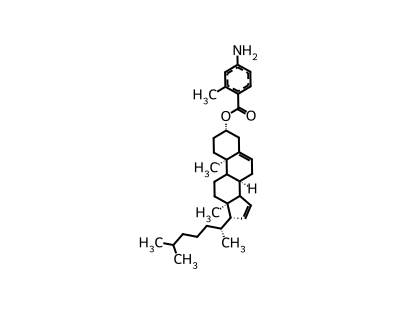 Cc1cc(N)ccc1C(=O)O[C@H]1CC[C@@]2(C)C(=CC[C@@H]3C2CC[C@@]2(C)C3C=C[C@@H]2[C@H](C)CCCC(C)C)C1